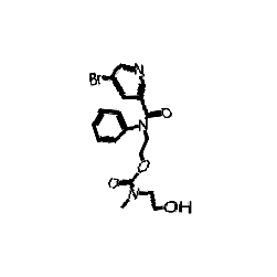 CN(CCO)C(=O)OCCN(C(=O)c1cncc(Br)c1)c1ccccc1